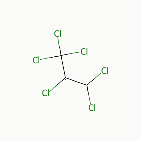 Cl[C](C(Cl)Cl)C(Cl)(Cl)Cl